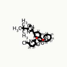 CC(C)(C)c1nc(-c2ccc(C(=O)N3C4CCC3CN(c3nc5nc(Cl)ccc5o3)C4)cc2)no1